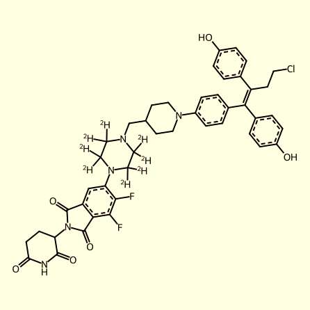 [2H]C1([2H])N(CC2CCN(c3ccc(C(=C(CCCl)c4ccc(O)cc4)c4ccc(O)cc4)cc3)CC2)C([2H])([2H])C([2H])([2H])N(c2cc3c(c(F)c2F)C(=O)N(C2CCC(=O)NC2=O)C3=O)C1([2H])[2H]